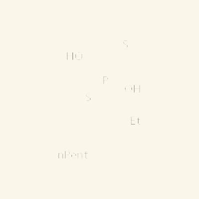 CCCCCC(CC)SP(O)(O)=S